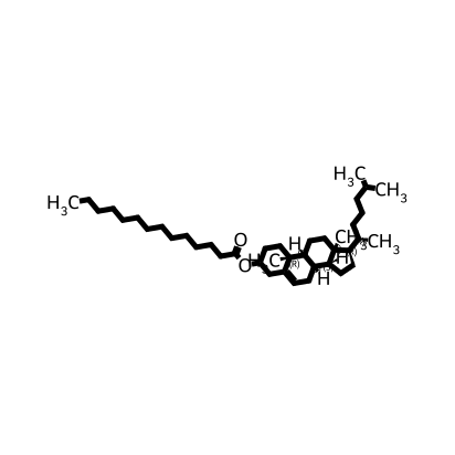 CCCCCCCCCCCCCC(=O)OC1CC[C@@]2(C)C(=CC[C@H]3[C@@H]4CC[C@H]([C@H](C)CCCC(C)C)[C@@]4(C)CC[C@@H]32)C1